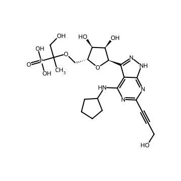 CC(CO)(OC[C@H]1O[C@H](c2n[nH]c3nc(C#CCO)nc(NC4CCCC4)c23)[C@H](O)[C@@H]1O)P(=O)(O)O